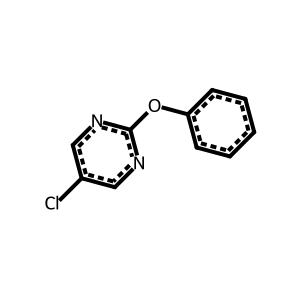 Clc1cnc(Oc2ccccc2)nc1